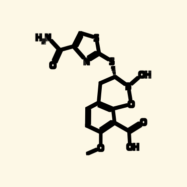 COc1ccc2c(c1C(=O)O)OB(O)[C@@H](Sc1nc(C(N)=O)cs1)C2